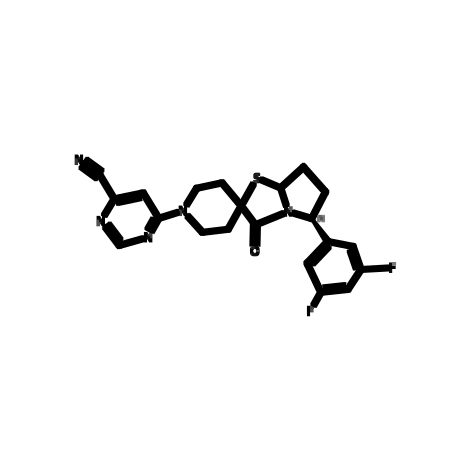 N#Cc1cc(N2CCC3(CC2)SC2CC[C@@H](c4cc(F)cc(F)c4)N2C3=O)ncn1